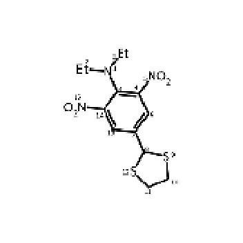 CCN(CC)c1c([N+](=O)[O-])cc(C2SCCS2)cc1[N+](=O)[O-]